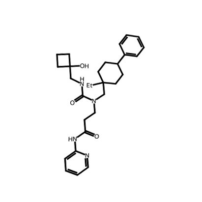 CCC1(CN(CCC(=O)Nc2ccccn2)C(=O)NCC2(O)CCC2)CCC(c2ccccc2)CC1